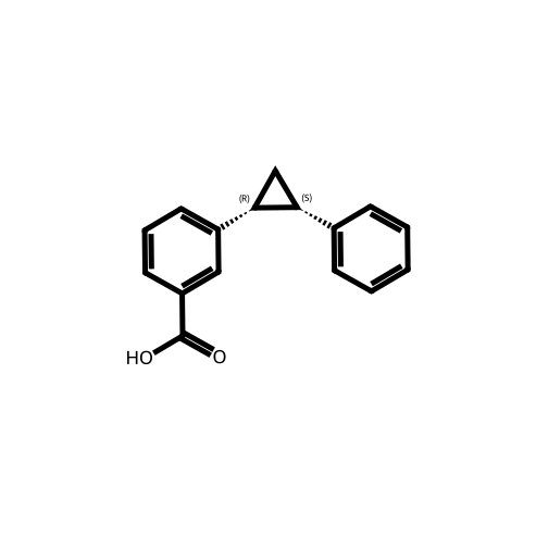 O=C(O)c1cccc([C@@H]2C[C@@H]2c2ccccc2)c1